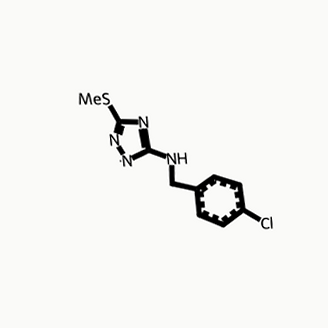 CSC1=N[N]C(NCc2ccc(Cl)cc2)=N1